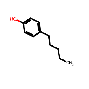 CCCCCc1ccc(O)cc1